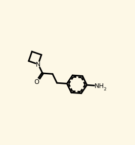 Nc1ccc(CCC(=O)N2CCC2)cc1